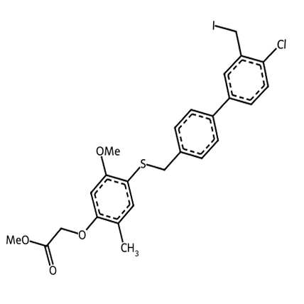 COC(=O)COc1cc(OC)c(SCc2ccc(-c3ccc(Cl)c(CI)c3)cc2)cc1C